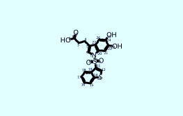 O=C(O)CCc1cn(S(=O)(=O)c2csc3ccccc23)c2cc(O)c(O)cc12